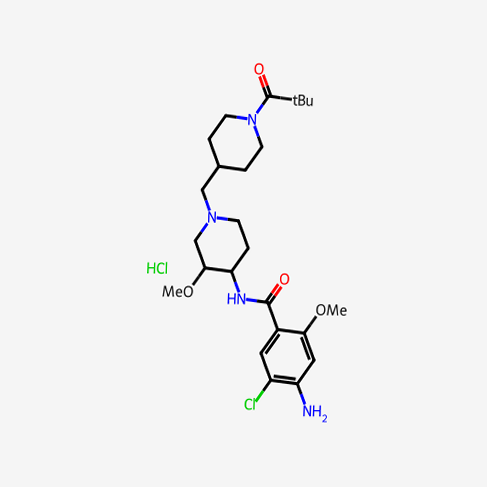 COc1cc(N)c(Cl)cc1C(=O)NC1CCN(CC2CCN(C(=O)C(C)(C)C)CC2)CC1OC.Cl